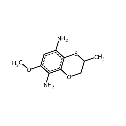 COc1cc(N)c2c(c1N)OCC(C)S2